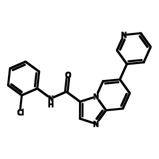 O=C(Nc1ccccc1Cl)c1cnc2ccc(-c3cccnc3)cn12